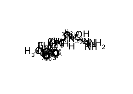 C/C=C(\OC(=O)NCCC1CCCN1N[C@H](C=O)CCCNC(=N)N)C(CC(C)N(C)C)(c1ccccc1)c1ccccc1